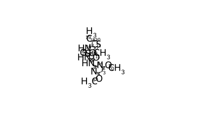 COc1cc(OC)nc(NC(=O)NS(=O)(=O)Nc2c(C)csc2C)n1